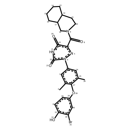 Cc1cc(-n2nc(C(=O)N3CCC4CCCCC4C3)c(=O)[nH]c2=O)cc(C)c1Oc1ccc(O)c(Br)c1